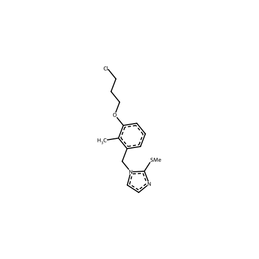 CSc1nccn1Cc1cccc(OCCCCl)c1C